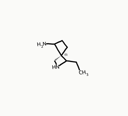 CCC1NC[C@]12CCC2N